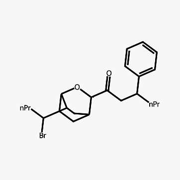 [CH2]CCC(CC(=O)[C]1OC2CCC1CC2C(Br)CCC)c1ccccc1